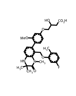 COc1cc(OCC(O)CC(=O)O)ccc1-c1ccc2c(c1COc1cc(F)ccc1C)N(C)C(=O)C(C)(C)N2